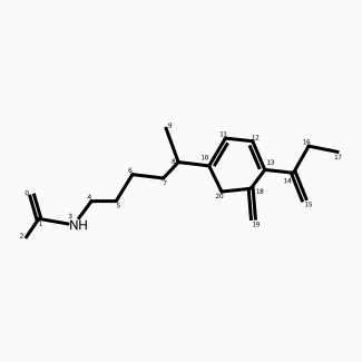 C=C(C)NCCCCC(C)C1=CC=C(C(=C)CC)C(=C)C1